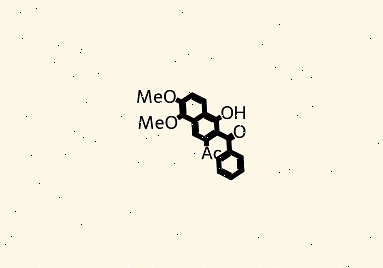 COc1ccc2c(O)c(C(=O)c3ccccc3)c(C(C)=O)cc2c1OC